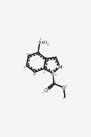 COC(=O)n1ncc2c([AsH2])cccc21